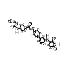 CC(C)(C)OC(=O)NC1CCN(C(=O)CCN2CCN(c3cccc(NC4CCC(=O)NC4=O)c3)CC2)CC1